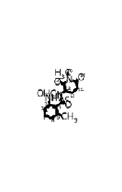 CC(=O)Nc1cccc(C)c1C(=O)N(C=O)C1CCC(=O)N(C)C1=O